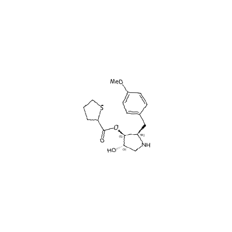 COc1ccc(C[C@H]2NC[C@H](O)[C@H]2OC(=O)C2CCCS2)cc1